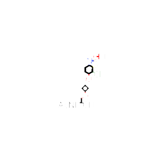 CCOc1nc2ccc(OC[C@H]3C[C@H](OC[C@H](C)NC(C)=O)C3)c(Cl)c2s1